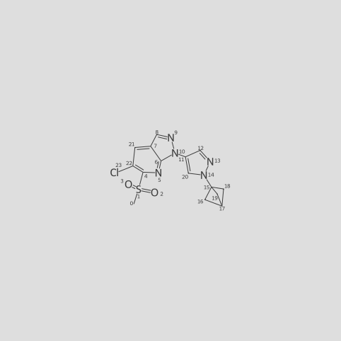 CS(=O)(=O)c1nc2c(cnn2-c2cnn(C34CC(C3)C4)c2)cc1Cl